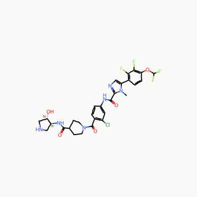 Cn1c(-c2ccc(OC(F)F)c(F)c2F)cnc1C(=O)Nc1ccc(C(=O)N2CCC(C(=O)N[C@H]3CNC[C@@H]3O)CC2)c(Cl)c1